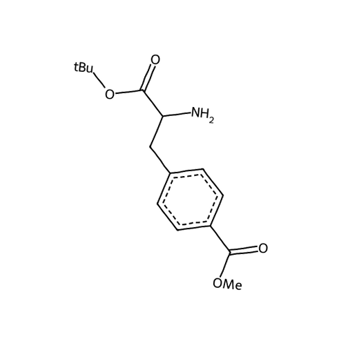 COC(=O)c1ccc(CC(N)C(=O)OC(C)(C)C)cc1